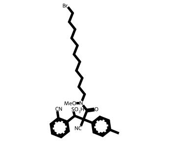 CON(CCCCCCCCCCCBr)C(=O)C(C#N)(c1ccc(C)cc1)C(c1ccccc1C#N)S(=O)(=O)O